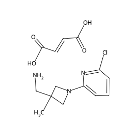 CC1(CN)CN(c2cccc(Cl)n2)C1.O=C(O)C=CC(=O)O